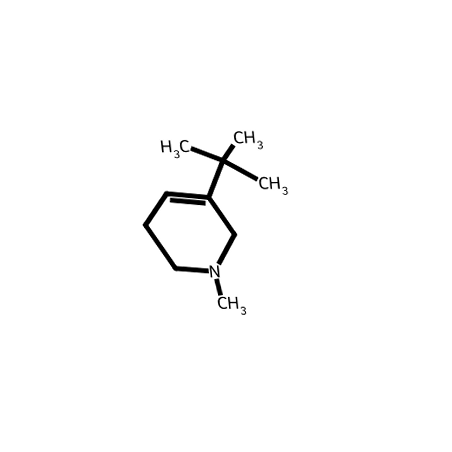 CN1CCC=C(C(C)(C)C)C1